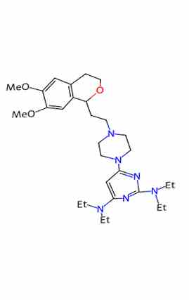 CCN(CC)c1cc(N2CCN(CCC3OCCc4cc(OC)c(OC)cc43)CC2)nc(N(CC)CC)n1